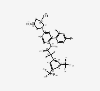 Cc1cc(F)ccc1-c1cc(N2C[C@H](O)C[C@H](O)C2)ncc1N(C)C(=O)C(C)(C)c1cc(C(F)(F)F)cc(C(F)(F)F)c1